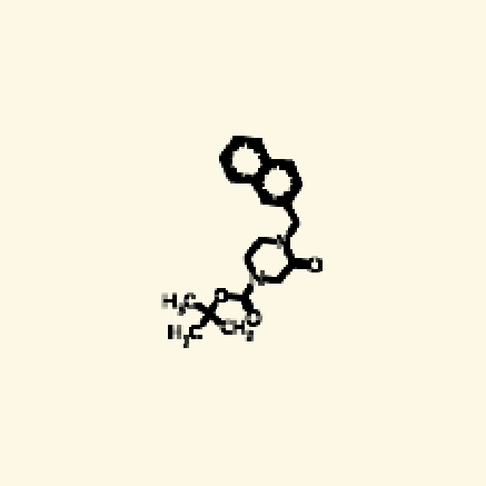 CC(C)(C)OC(=O)N1CCN(Cc2ccc3ccccc3c2)C(=O)C1